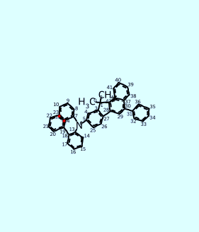 CC1(C)c2cc(N(c3ccccc3)c3ccccc3-c3ccccc3)ccc2-c2cc(-c3ccccc3)c3ccccc3c21